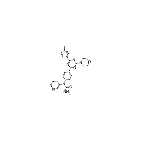 Cc1ccn(-c2nc(-c3ccc(N(C(N)=O)c4ccnnc4)cc3)nc(N3CCOCC3)n2)n1